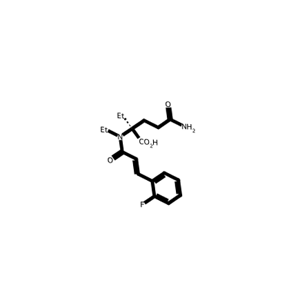 CCN(C(=O)C=Cc1ccccc1F)[C@@](CC)(CCC(N)=O)C(=O)O